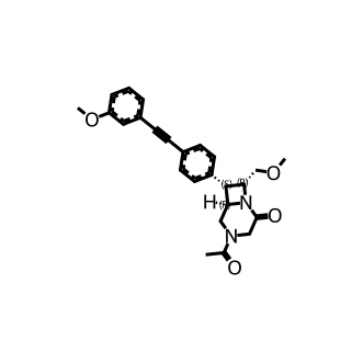 COC[C@H]1[C@@H](c2ccc(C#Cc3cccc(OC)c3)cc2)[C@@H]2CN(C(C)=O)CC(=O)N12